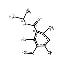 Cc1cc(O)c(C=O)c(O)c1C(=O)OC(C)C